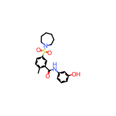 Cc1ccc(S(=O)(=O)N2CCCCCC2)cc1C(=O)Nc1cccc(O)c1